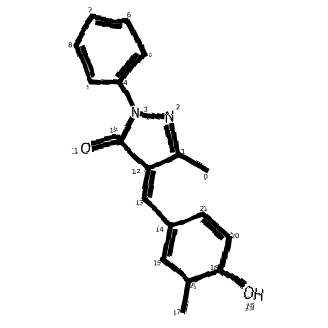 CC1=NN(c2ccccc2)C(=O)/C1=C/C1=CC(C)C(O)C=C1